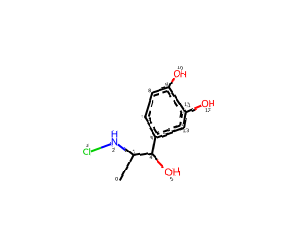 CC(NCl)C(O)c1ccc(O)c(O)c1